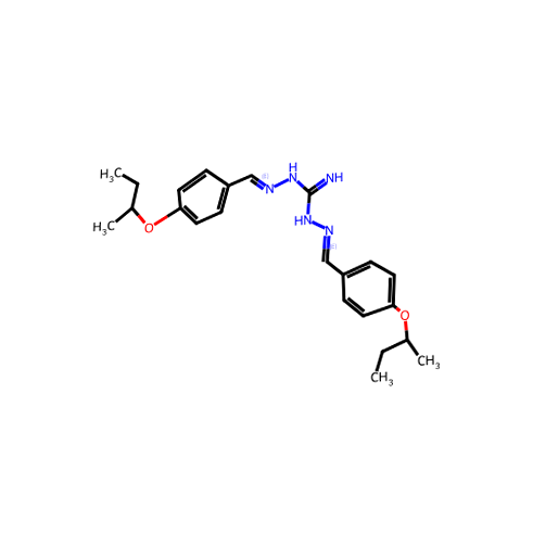 CCC(C)Oc1ccc(/C=N/NC(=N)N/N=C/c2ccc(OC(C)CC)cc2)cc1